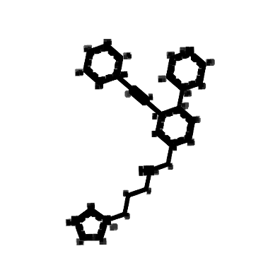 C(#Cc1cc(CNCCCn2ccnc2)ccc1-c1ccncc1)c1ccccc1